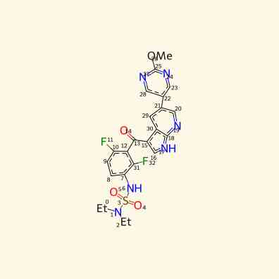 CCN(CC)S(=O)(=O)Nc1ccc(F)c(C(=O)c2c[nH]c3ncc(-c4cnc(OC)nc4)cc23)c1F